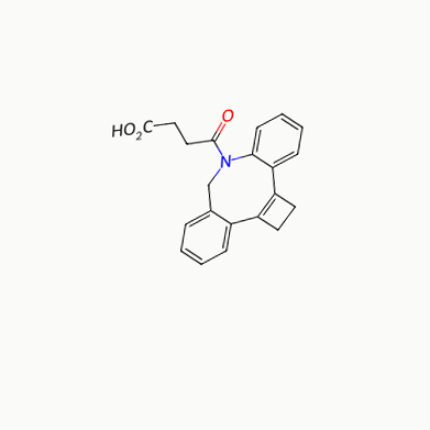 O=C(O)CCC(=O)N1Cc2ccccc2C2=C(CC2)c2ccccc21